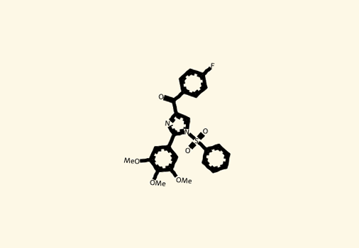 COc1cc(-c2nc(C(=O)c3ccc(F)cc3)cn2S(=O)(=O)c2ccccc2)cc(OC)c1OC